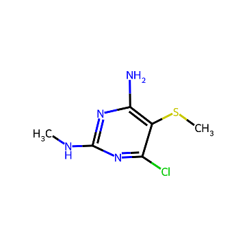 CNc1nc(N)c(SC)c(Cl)n1